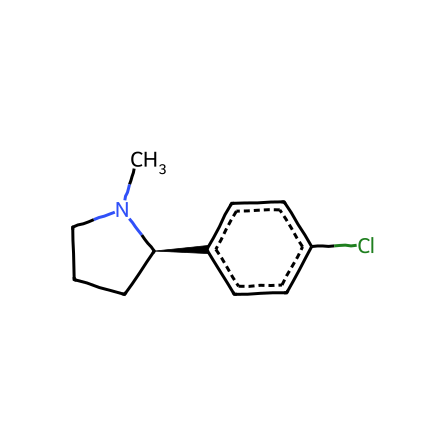 CN1CCC[C@@H]1c1ccc(Cl)cc1